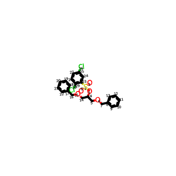 O=S(=O)(OC(COCc1ccccc1)COCc1ccccc1)c1cc(Cl)ccc1Cl